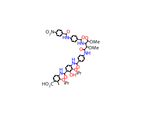 COC(=O)[C@@H](NC(=O)c1ccc(NC(=O)c2ccc([N+](=O)[O-])cc2)cc1)[C@H](OC)C(=O)Nc1ccc(C(=O)Nc2ccc(C(=O)Nc3ccc(C(=O)O)c(C)c3OC(C)C)c(O)c2OC(C)C)cc1